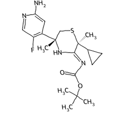 CC(C)(C)OC(=O)N=C1N[C@](C)(c2cc(N)ncc2F)CS[C@@]1(C)C1CC1